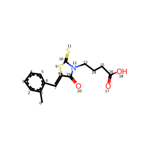 Cc1ccccc1/C=C1\SC(=S)N(CCCC(=O)O)C1=O